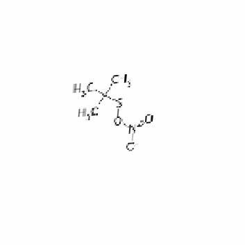 CC(C)(C)SO[N+](=O)[O-]